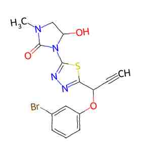 C#CC(Oc1cccc(Br)c1)c1nnc(N2C(=O)N(C)CC2O)s1